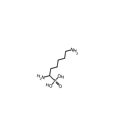 NCCCCCC(N)P(=O)(O)O